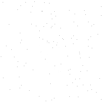 CCC1(CC)CC2(CC(C)(C)N1OC(C)c1ccc(OCC3CO3)cc1)OCCO2